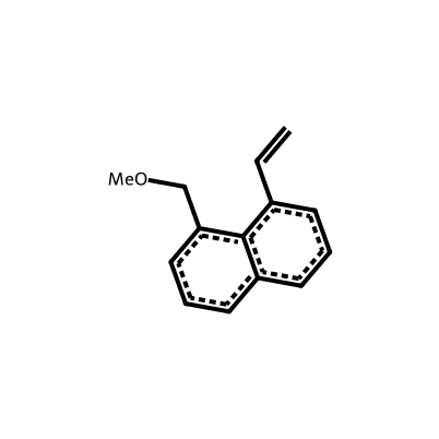 C=Cc1cccc2cccc(COC)c12